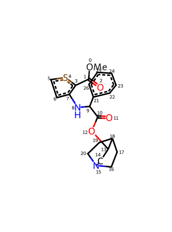 COC(=O)c1sccc1NC(C(=O)OC1CN2CCC1CC2)c1ccccc1